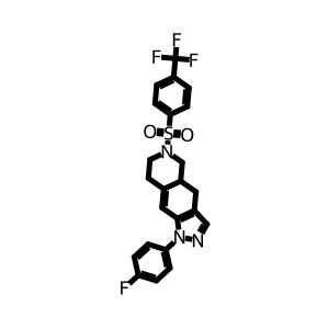 O=S(=O)(c1ccc(C(F)(F)F)cc1)N1CCC2=Cc3c(cnn3-c3ccc(F)cc3)CC2C1